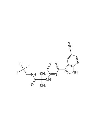 CC(C)(Nc1cnnc(-c2c[nH]c3ncc(C#N)cc23)n1)C(=O)NCC(F)(F)F